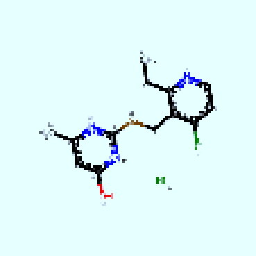 CCc1nccc(Cl)c1CSc1nc(C)cc(O)n1.Cl